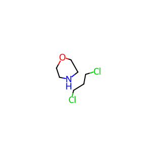 C1COCCN1.ClCCCCl